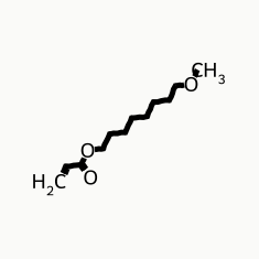 C=CC(=O)OCCCCCCCCOC